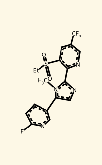 CCS(=O)(=O)c1cc(C(F)(F)F)cnc1-c1ncc(-c2ccc(F)nc2)n1C